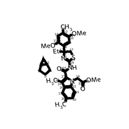 C1CC2CC2C1.CCC1(c2cc(OC)c(C)cc2OC)CSC(NC(=O)c2c(C)c3cc(C)ccc3n2CC(=O)OC)=N1